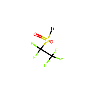 [Li][S](=O)(=O)C(F)(F)C(F)(F)F